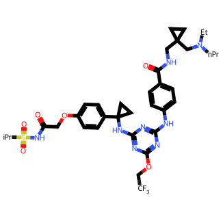 CCCN(CC)CC1(CNC(=O)c2ccc(Nc3nc(NC4(c5ccc(OCC(=O)NS(=O)(=O)C(C)C)cc5)CC4)nc(OCC(F)(F)F)n3)cc2)CC1